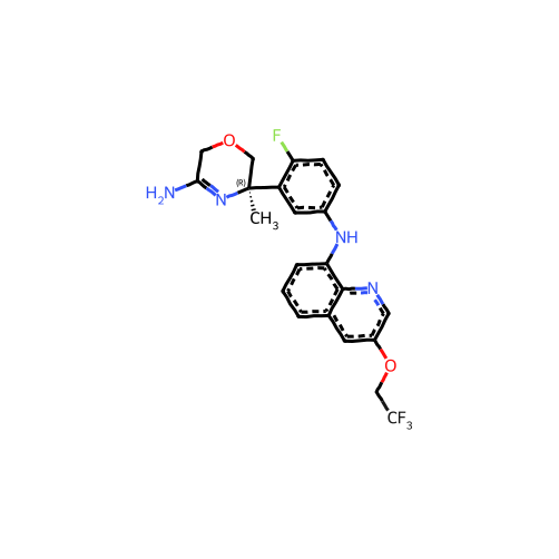 C[C@@]1(c2cc(Nc3cccc4cc(OCC(F)(F)F)cnc34)ccc2F)COCC(N)=N1